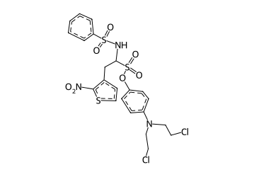 O=[N+]([O-])c1sccc1CC(NS(=O)(=O)c1ccccc1)S(=O)(=O)Oc1ccc(N(CCCl)CCCl)cc1